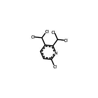 Clc1ccc(C(Cl)Cl)c(C(Cl)Cl)n1